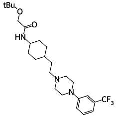 CC(C)(C)OCC(=O)NC1CCC(CCN2CCN(c3cccc(C(F)(F)F)c3)CC2)CC1